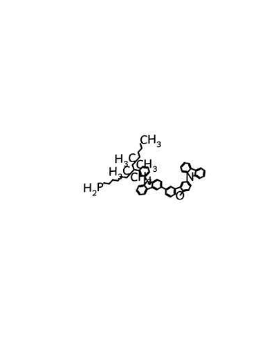 CCCCCC(C)(C)CC(c1cccc(-n2c3ccccc3c3cc(-c4ccc5oc6ccc(-n7c8ccccc8c8ccccc87)cc6c5c4)ccc32)c1)C(C)(C)CCCCCCP